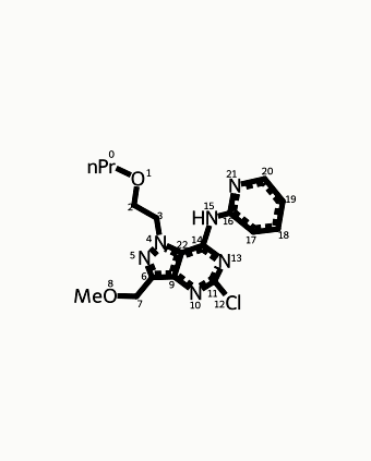 CCCOCCn1nc(COC)c2nc(Cl)nc(Nc3ccccn3)c21